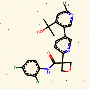 CC(C)(O)c1cc(C(F)(F)F)ncc1-c1ccc(C2(C(=O)Nc3ccc(F)cc3F)COC2)nc1